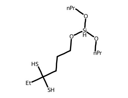 CCCO[SiH](OCCC)OCCCC(S)(S)CC